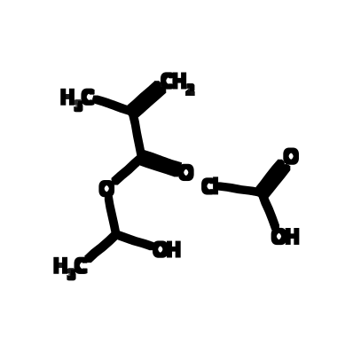 C=C(C)C(=O)OC(C)O.O=C(O)Cl